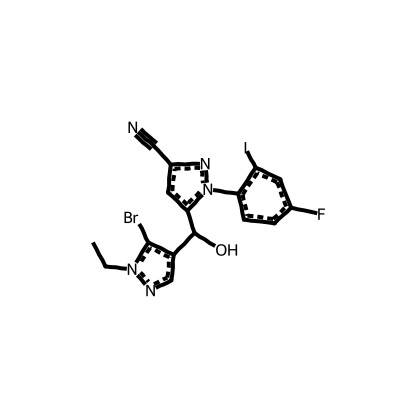 CCn1ncc(C(O)c2cc(C#N)nn2-c2ccc(F)cc2I)c1Br